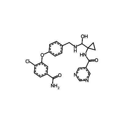 NC(=O)c1ccc(Cl)c(Oc2ccc(CNC(O)C3(NC(=O)c4cncnc4)CC3)cc2)c1